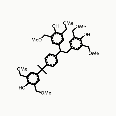 COCc1cc(CC(c2ccc(C(C)(C)c3cc(COC)c(O)c(COC)c3)cc2)c2cc(COC)c(O)c(COC)c2)cc(COC)c1O